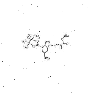 COc1cc(B2OC(C)(C)C(C)(C)O2)c2ccn(CCNC(=O)OC(C)(C)C)c2c1